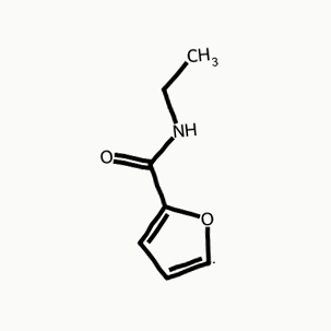 CCNC(=O)c1cc[c]o1